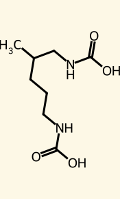 CC(CCCNC(=O)O)CNC(=O)O